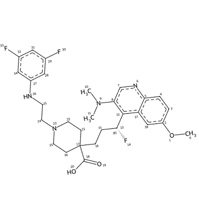 COc1ccc2ncc(N(C)C)c([C@H](F)CCC3(C(=O)O)CCN(CCNc4cc(F)cc(F)c4)CC3)c2c1